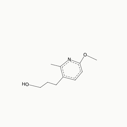 COc1ccc(CCCO)c(C)n1